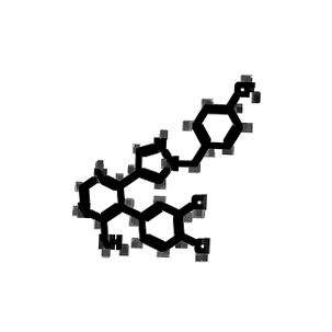 Nc1ncnc(-c2cnn(Cc3ccc(C(F)(F)F)cc3)c2)c1-c1ccc(Cl)c(Cl)c1